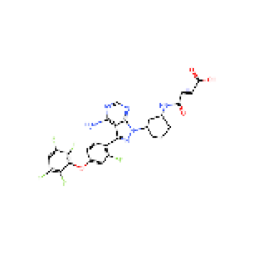 Nc1ncnc2c1c(-c1ccc(Oc3c(F)c(F)cc(F)c3F)cc1F)nn2C1CCCC(NC(=O)/C=C/C(=O)O)C1